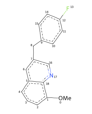 COc1cccc2cc(Cc3ccc(F)cc3)cnc12